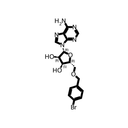 Nc1ncnc2c1ncn2[C@@H]1O[C@H](COCc2ccc(Br)cc2)[C@@H](O)[C@H]1O